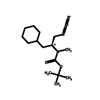 CN(C(=O)OC(C)(C)C)[C@H](CN=[N+]=[N-])CC1CCCCC1